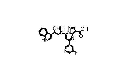 O=C(O)c1cnn2c(NC[C@H](O)c3c[nH]c4ccccc34)cc(-c3cncc(F)c3)nc12